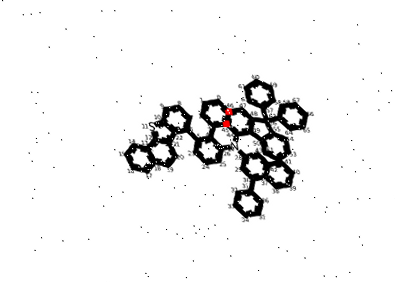 c1ccc(-c2c(-c3cccc4sc5c6ccccc6ccc5c34)cccc2N(c2cc(-c3ccccc3)c3ccccc3c2)c2cccc3c2-c2ccccc2C3(c2ccccc2)c2ccccc2)cc1